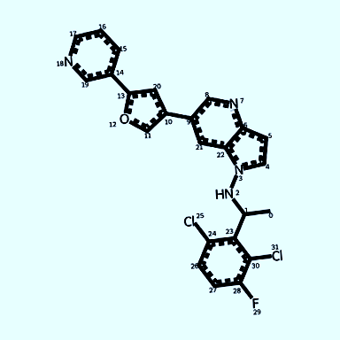 CC(Nn1ccc2ncc(-c3coc(-c4cccnc4)c3)cc21)c1c(Cl)ccc(F)c1Cl